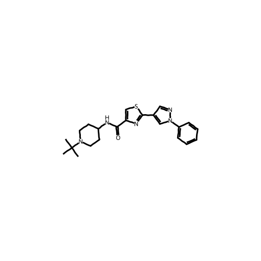 CC(C)(C)N1CCC(NC(=O)c2csc(-c3cnn(-c4ccccc4)c3)n2)CC1